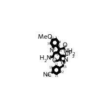 COc1ccc2c(C(N)=O)c(-c3c(C(F)(F)F)nn(Cc4ccc(C#N)cc4)c3C)c(C(N)=O)nc2c1